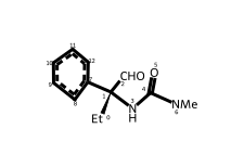 CC[C@@](C=O)(NC(=O)NC)c1ccccc1